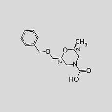 C[C@H]1CN(C(=O)O)C[C@@H](COCc2ccccc2)O1